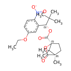 CCOc1ccc([N+](=O)[O-])c([C@@H](OC(=O)[C@@]23CC[C@@](C)(C(=O)O2)C3(C)C)C(C)(C)C)c1